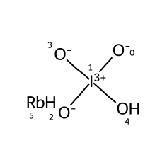 [O-][I+3]([O-])([O-])O.[RbH]